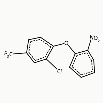 O=[N+]([O-])c1ccccc1Oc1ccc(C(F)(F)F)cc1Cl